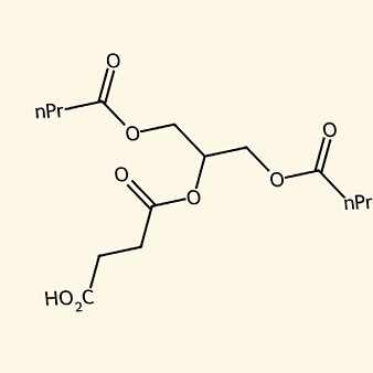 CCCC(=O)OCC(COC(=O)CCC)OC(=O)CCC(=O)O